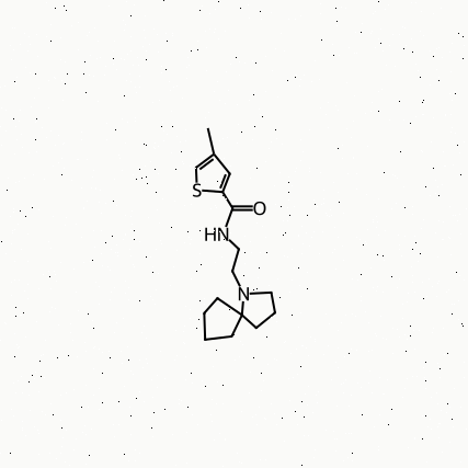 Cc1csc(C(=O)NCCN2CCCC23CCCC3)c1